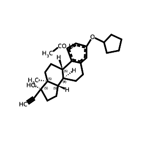 C#C[C@]1(O)CC[C@H]2[C@@H]3CCc4cc(OC5CCCC5)ccc4[C@H]3CC[C@@]21C.CC(=O)O